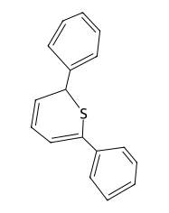 C1=CC(c2ccccc2)SC(c2ccccc2)=C1